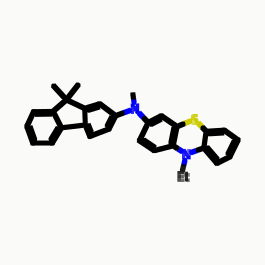 CCN1c2ccccc2Sc2cc(N(C)c3ccc4c(c3)C(C)(C)c3ccccc3-4)ccc21